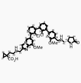 COc1nc(-c2cccc(-c3ccnc(-c4cc(OC)c5nc(CNCCC6(C(=O)O)CC6)cn5c4)c3Cl)c2Cl)ccc1CNC[C@@H]1CCC(=O)N1